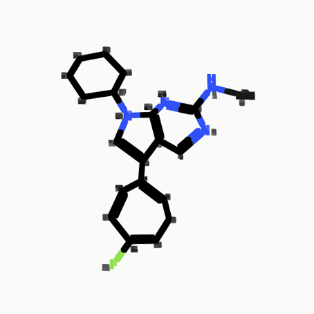 CCCCNc1ncc2c(C3=CCC=C(F)C=C3)cn(C3CCCCC3)c2n1